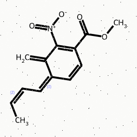 C=c1c([N+](=O)[O-])c(C(=O)OC)cc/c1=C/C=C\C